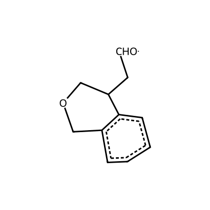 O=[C]CC1COCc2ccccc21